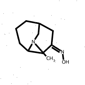 CN1CC2CCCC1CC(=NO)C2